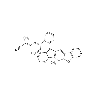 C=C/C(=C\C=C(/C)C#N)c1ccccc1N1C2=C(CC3Oc4ccccc4C3=C2)[C@@]2(C)C=CC=CC12